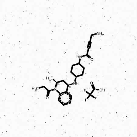 CCC(=O)N1c2ccccc2[C@H](NC2CCC(NC(=O)C#CCN)CC2)C[C@@H]1C.O=C(O)C(F)(F)F